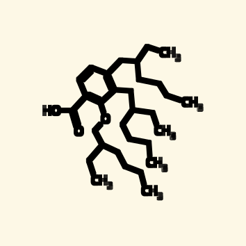 CCCCC(CC)COc1c(C(=O)O)ccc(CC(CC)CCCC)c1CC(CC)CCCC